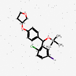 C[Si](C)(C)OC(c1ccc(O[C@H]2CCOC2)cc1)c1cc(I)ccc1Cl